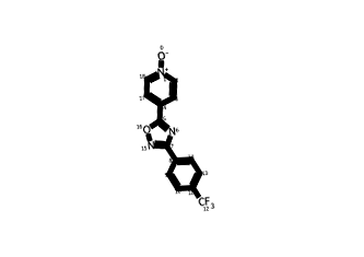 [O-][n+]1ccc(-c2nc(-c3ccc(C(F)(F)F)cc3)no2)cc1